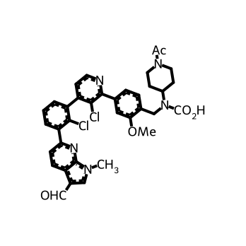 COc1cc(-c2nccc(-c3cccc(-c4ccc5c(C=O)cn(C)c5n4)c3Cl)c2Cl)ccc1CN(C(=O)O)C1CCN(C(C)=O)CC1